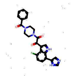 O=C(C(=O)N1CCN(C(=O)c2ccccc2)CC1)c1c[nH]c2c(-c3cnc[nH]3)ccc(F)c12